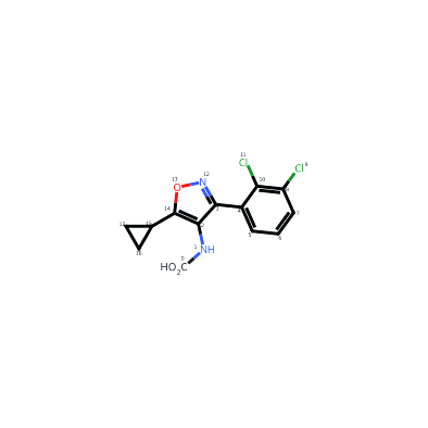 O=C(O)Nc1c(-c2cccc(Cl)c2Cl)noc1C1CC1